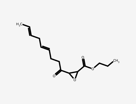 CC=CCC=CCCC(=O)C1OC1C(=O)OCCC